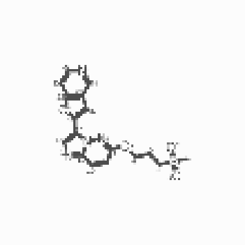 CS(=O)(=O)CCCOc1ccc2ncc(-c3cc4cnccc4o3)n2n1